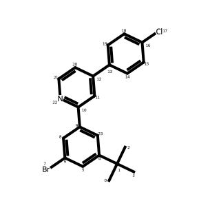 CC(C)(C)c1cc(Br)cc(-c2cc(-c3ccc(Cl)cc3)ccn2)c1